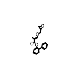 CC(=COCC1CO1)C(=O)Oc1ccccc1-c1ccccc1